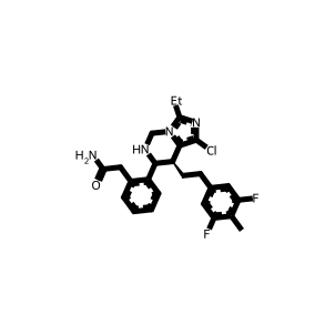 CCc1nc(Cl)c2n1CNC(c1ccccc1CC(N)=O)[C@@H]2CCc1cc(F)c(C)c(F)c1